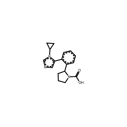 O=C(O)N1CCCC1c1ccccc1-c1cncn1C1CC1